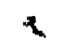 CCC(Oc1cccc2c1B(O)OC2)N1CCN(c2ccc(N3CC(CNC(C)=O)OC3=O)cc2)CC1